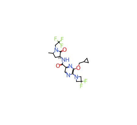 CC1C[C@H](NC(=O)c2cnc(N3CC(F)(F)C3)c(OCC3CC3)n2)C(=O)N1CC(F)(F)F